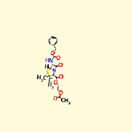 CC(=O)OCCOC(=O)[C@@H]1N2C(=O)[C@@H](NC(=O)OCc3ccccc3)[C@H]2SC1(C)C